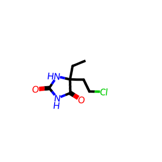 CCC1(CCCl)NC(=O)NC1=O